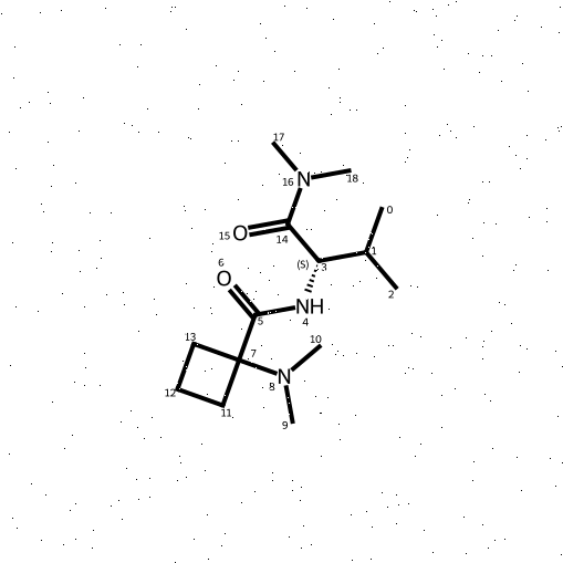 CC(C)[C@H](NC(=O)C1(N(C)C)CCC1)C(=O)N(C)C